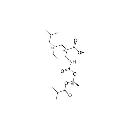 CC[C@H](CC(C)C)C[C@H](CNC(=O)O[C@@H](C)OC(=O)C(C)C)C(=O)O